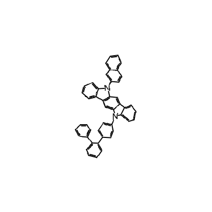 c1ccc(-c2ccccc2-c2ccc(-n3c4ccccc4c4cc5c(cc43)c3ccccc3n5-c3ccc4ccccc4c3)cc2)cc1